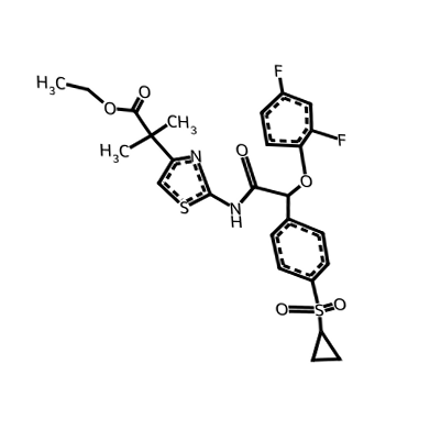 CCOC(=O)C(C)(C)c1csc(NC(=O)C(Oc2ccc(F)cc2F)c2ccc(S(=O)(=O)C3CC3)cc2)n1